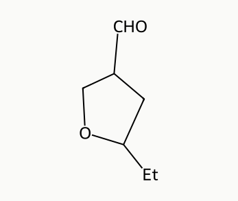 CCC1CC(C=O)CO1